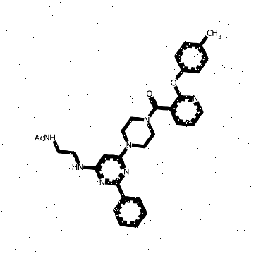 CC(=O)NCCNc1cc(N2CCN(C(=O)c3cccnc3Oc3ccc(C)cc3)CC2)nc(-c2ccccc2)n1